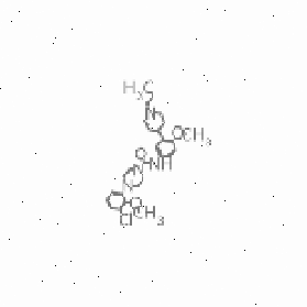 CCCN1CCC(c2cc(NC(=O)N3CCN(c4cccc(Cl)c4OC)CC3)ccc2OC)CC1